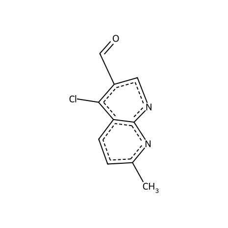 Cc1ccc2c(Cl)c(C=O)cnc2n1